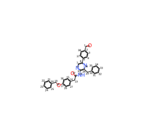 O=Cc1ccc(-c2cnc(NC(=O)Cc3ccc(OCc4ccccc4)cc3)c(Cc3ccccc3)n2)cc1